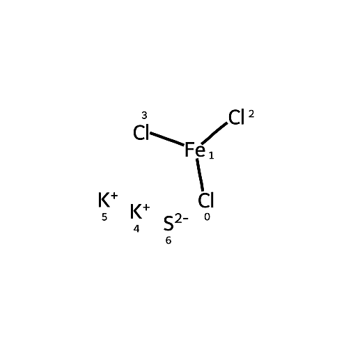 [Cl][Fe]([Cl])[Cl].[K+].[K+].[S-2]